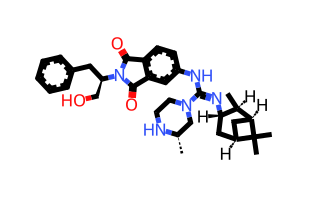 C[C@@H]1[C@@H](/N=C(/Nc2ccc3c(c2)C(=O)N([C@@H](CO)Cc2ccccc2)C3=O)N2CCN[C@@H](C)C2)C[C@H]2C[C@@H]1C2(C)C